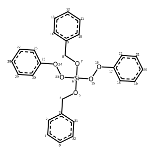 c1ccc(CO[Si](OCc2ccccc2)(OOc2ccccc2)OOc2ccccc2)cc1